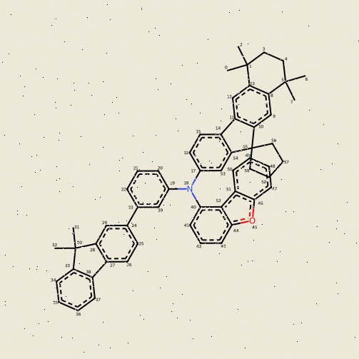 CC1(C)CCC(C)(C)c2cc3c(cc21)-c1ccc(N(c2cccc(-c4ccc5c(c4)C(C)(C)c4ccccc4-5)c2)c2cccc4oc5ccccc5c24)cc1C31CCCC1